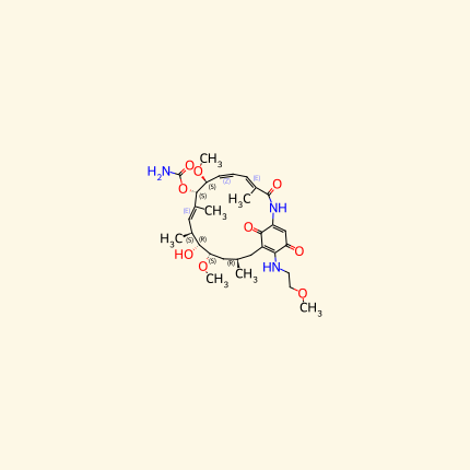 COCCNC1=C2C[C@@H](C)C[C@H](OC)[C@H](O)[C@@H](C)/C=C(\C)[C@H](OC(N)=O)[C@@H](OC)/C=C\C=C(/C)C(=O)NC(=CC1=O)C2=O